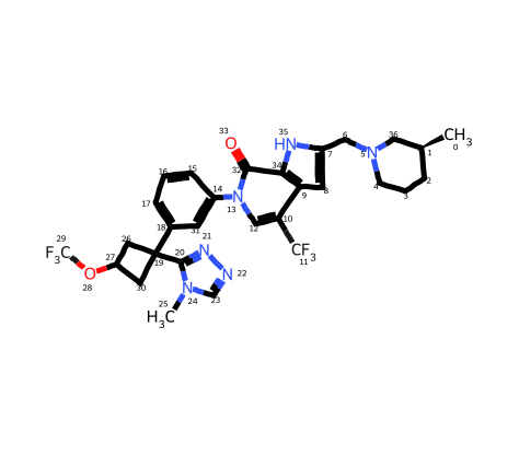 C[C@H]1CCCN(Cc2cc3c(C(F)(F)F)cn(-c4cccc(C5(c6nncn6C)CC(OC(F)(F)F)C5)c4)c(=O)c3[nH]2)C1